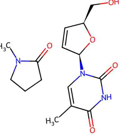 CN1CCCC1=O.Cc1cn([C@H]2C=C[C@@H](CO)O2)c(=O)[nH]c1=O